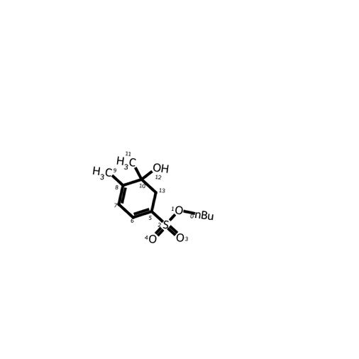 CCCCOS(=O)(=O)C1=CC=C(C)C(C)(O)C1